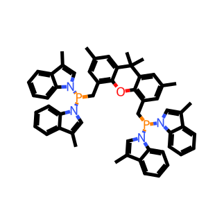 Cc1cc(CP(n2cc(C)c3ccccc32)n2cc(C)c3ccccc32)c2c(c1)C(C)(C)c1cc(C)cc(CP(n3cc(C)c4ccccc43)n3cc(C)c4ccccc43)c1O2